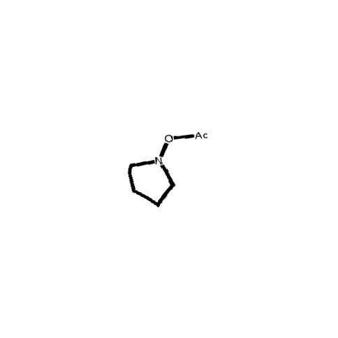 CC(=O)ON1CCCC1